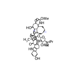 COC(=O)NC1=C2C#C/C=C\C#C[C@H](OC3OC(C)C(C(=O)C4=NCCc5c4[nH]c4ccc(O)cc54)C(O)C3OC3CC(OC)C(NC(C)C)CO3)C2/C(=C\CS(C)(=S)=S)[C@@H](O)CC1=O